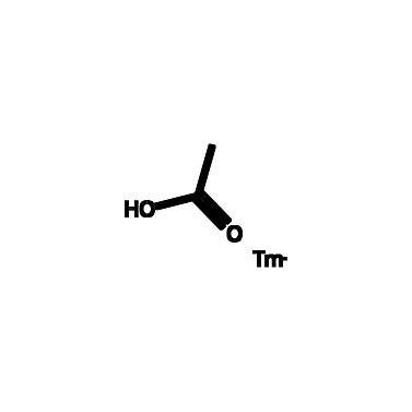 CC(=O)O.[Tm]